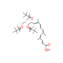 CC(=CC=CC(C)=C[C@@H](O[Si](C)(C)C(C)(C)C)[C@@H](C[C@@H](C)O[Si](C)(C)C(C)(C)C)O[Si](C)(C)C(C)(C)C)C=C(C)C=CC(=O)O